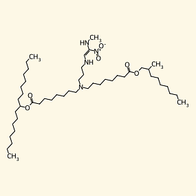 CCCCCCCCC(CCCCCCCC)OC(=O)CCCCCCCN(CCCCCCCC(=O)OCC(C)CCCCCCC)CCCNC=C(NC)[N+](=O)[O-]